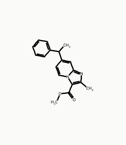 COC(=O)c1c(C)nc2cc(C(C)c3ccccc3)ccn12